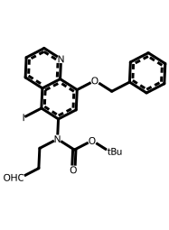 CC(C)(C)OC(=O)N(CCC=O)c1cc(OCc2ccccc2)c2ncccc2c1I